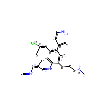 C=N/C=C(C)\C=N/C(=C)\C(CCCNC)=C(C)/C(=C/C=C(\C)Cl)C(=C)/C=C\N